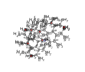 BB(B)B(B)B(B(B(B)B)B(B)B)B(B(/N=B/B(B(B(B(B)B)B(B)B)B(B(B)B)B(B)B)B(B(B(B)B)B(B)B)B(B(B)B)B(B)B)B(B(B(B)B)B(B)B)B(B(B)B)B(B)B)B(B(B)B)B(B)B